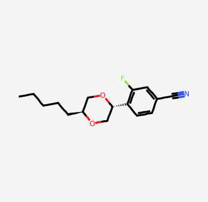 CCCCC[C@H]1CO[C@H](c2ccc(C#N)cc2F)CO1